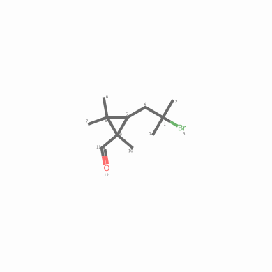 CC(C)(Br)CC1C(C)(C)C1(C)[C]=O